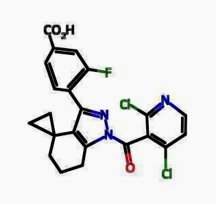 O=C(O)c1ccc(-c2nn(C(=O)c3c(Cl)ccnc3Cl)c3c2C2(CCC3)CC2)c(F)c1